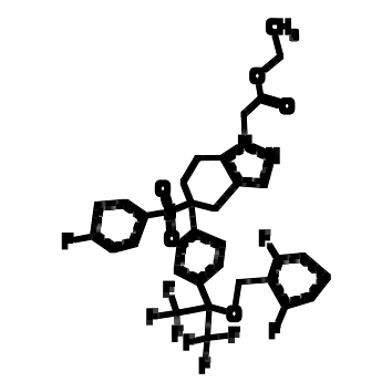 CCOC(=O)Cn1ncc2c1CCC(c1ccc(C(OCc3c(F)cccc3F)(C(F)(F)F)C(F)(F)F)cc1)(S(=O)(=O)c1ccc(F)cc1)C2